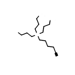 C#CCCC[CH2][Sn]([CH2]CCC)([CH2]CCC)[CH2]CCC